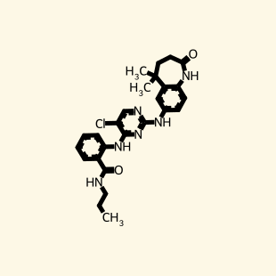 CCCNC(=O)c1ccccc1Nc1nc(Nc2ccc3c(c2)C(C)(C)CCC(=O)N3)ncc1Cl